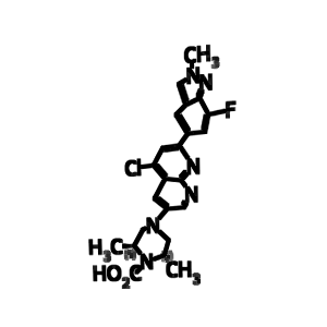 C[C@H]1CN(c2cnc3nc(-c4cc(F)c5nn(C)cc5c4)cc(Cl)c3c2)C[C@H](C)N1C(=O)O